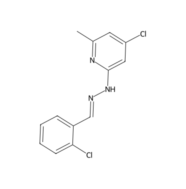 Cc1cc(Cl)cc(NN=Cc2ccccc2Cl)n1